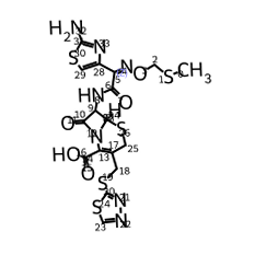 CSCO/N=C(\C(=O)NC1C(=O)N2C(C(=O)O)=C(CSc3nncs3)CS[C@H]12)c1csc(N)n1